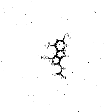 CCC(=O)Nc1nn(C)c2c1sc1nc(C)cc(C)c12